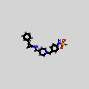 CS(=O)(=O)Nc1ccc(CN2CCC(CNC3CC3c3ccccc3)CC2)cc1